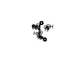 CC(C)(c1ccccc1)c1nnc(NC(=O)/C=C/[C@H](CCc2ccccc2)NC(=O)[C@@H]2CCCCN2)s1.O=C(O)C(F)(F)F